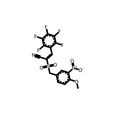 COc1ccc(CS(=O)(=O)C(C#N)=Cc2c(F)c(F)c(F)c(F)c2F)cc1[N+](=O)[O-]